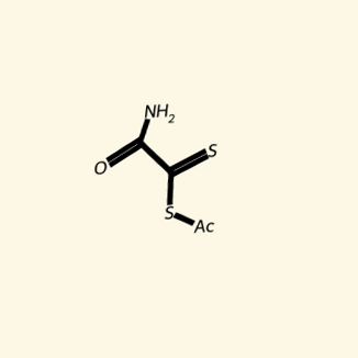 CC(=O)SC(=S)C(N)=O